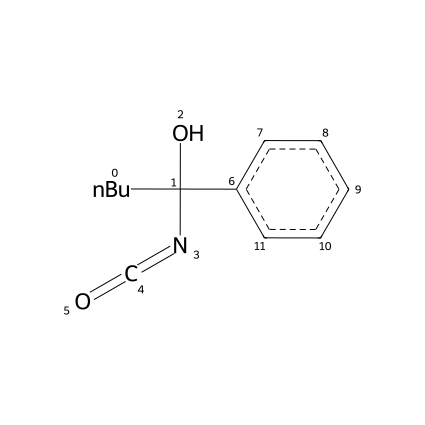 CCCCC(O)(N=C=O)c1ccccc1